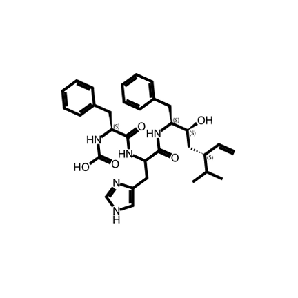 C=C[C@@H](C[C@H](O)[C@H](Cc1ccccc1)NC(=O)C(Cc1c[nH]cn1)NC(=O)[C@H](Cc1ccccc1)NC(=O)O)C(C)C